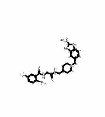 Nc1ccc(C(F)(F)F)cc1C(=O)NCC(=O)NCC1CCN(Cc2ccc3c(c2)NC(S(=O)(=O)O)O3)CC1